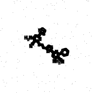 N#Cc1c(N)cc(-c2nccs2)nc1SCCc1csc(-c2cc(N)c(C#N)c(N3CCCCC3)n2)n1